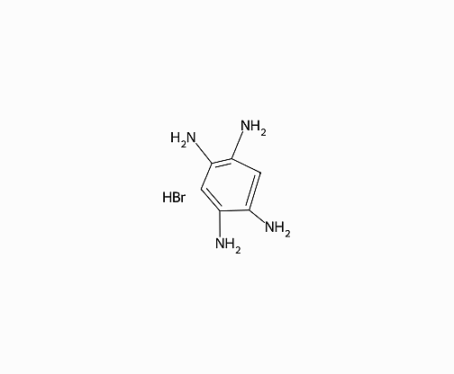 Br.Nc1cc(N)c(N)cc1N